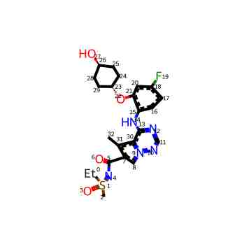 CCS(C)(=O)=NC(=O)c1cn2ncnc(Nc3ccc(F)cc3O[C@H]3CC[C@H](O)CC3)c2c1C